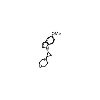 COc1ccc2c(ccn2C2CC2N2CCOCC2)c1